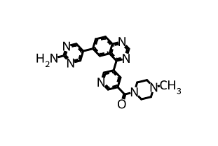 CN1CCN(C(=O)c2cncc(-c3ncnc4ccc(-c5cnc(N)nc5)cc34)c2)CC1